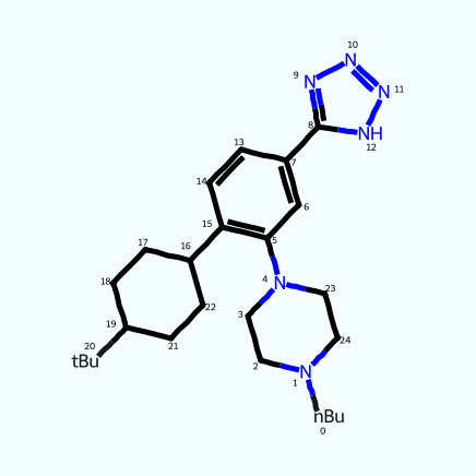 CCCCN1CCN(c2cc(-c3nnn[nH]3)ccc2C2CCC(C(C)(C)C)CC2)CC1